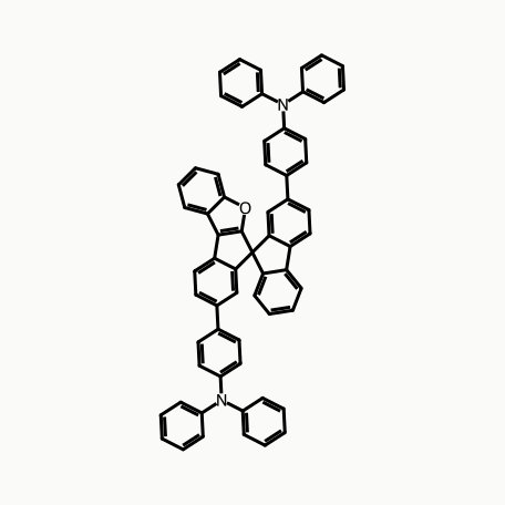 c1ccc(N(c2ccccc2)c2ccc(-c3ccc4c(c3)C3(c5ccccc5-4)c4cc(-c5ccc(N(c6ccccc6)c6ccccc6)cc5)ccc4-c4c3oc3ccccc43)cc2)cc1